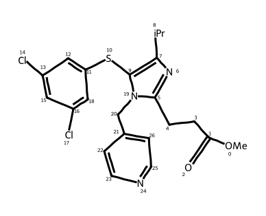 COC(=O)CCc1nc(C(C)C)c(Sc2cc(Cl)cc(Cl)c2)n1Cc1ccncc1